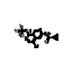 [2H]C([2H])([2H])Nc1ncc(Br)c2cc(NC(=O)C3CC3)ncc12